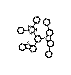 c1ccc(-c2ccc3c4ccc(-c5ccccc5)cc4n(-c4cc(-c5nc(-c6ccccc6)nc(-c6ccccc6)n5)cc(-c5cccc6c5sc5ccccc56)c4)c3c2)cc1